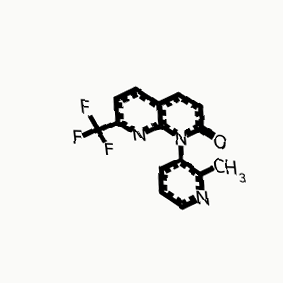 Cc1ncccc1-n1c(=O)ccc2ccc(C(F)(F)F)nc21